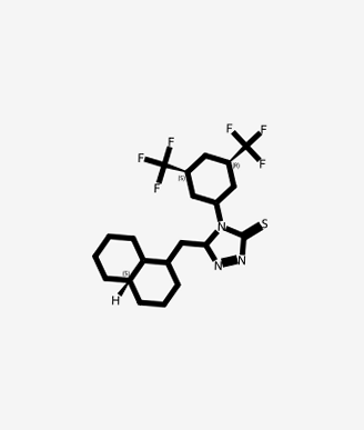 FC(F)(F)[C@@H]1CC(N2C(=S)N=NC2CC2CCC[C@@H]3CCCCC23)C[C@H](C(F)(F)F)C1